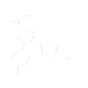 COC(=O)c1nc(-c2ccc(C)cc2)n(-c2ccc(OC)nc2)n1